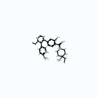 CCc1ncnc(-c2ccc(C(=O)N3CCC(O)(CC)CC3)c(F)c2)c1-c1ccc(N)nc1